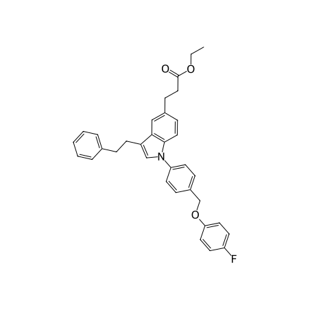 CCOC(=O)CCc1ccc2c(c1)c(CCc1ccccc1)cn2-c1ccc(COc2ccc(F)cc2)cc1